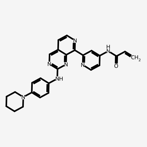 C=CC(=O)Nc1ccnc(-c2nccc3cnc(Nc4ccc(N5CCCCC5)cc4)nc23)c1